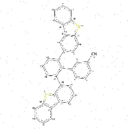 N#Cc1cccc(-c2c(-c3ccc4sc5ccccc5c4c3)cccc2-c2cccc3c2sc2ccccc23)c1